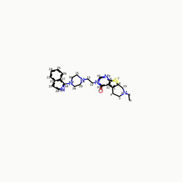 CCN1CCc2c(sc3ncn(CCN4CCN(c5nccc6ccccc56)CC4)c(=O)c23)C1